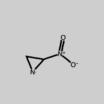 O=[N+]([O-])C1C[N]1